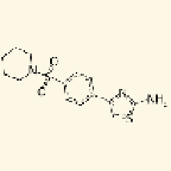 Nc1nc(-c2ccc(S(=O)(=O)N3CCCCC3)cc2)cs1